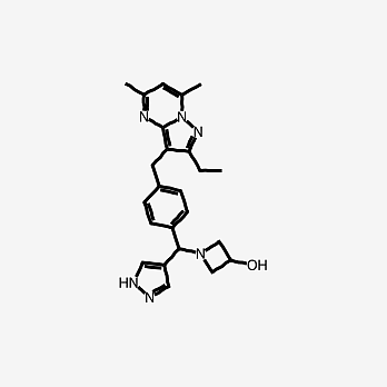 CCc1nn2c(C)cc(C)nc2c1Cc1ccc(C(c2cn[nH]c2)N2CC(O)C2)cc1